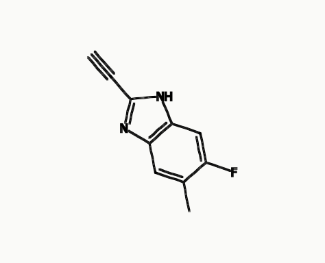 C#Cc1nc2cc(C)c(F)cc2[nH]1